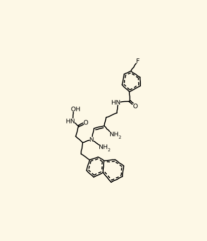 N/C(=C\N(N)C(CC(=O)NO)Cc1ccc2ccccc2c1)CCNC(=O)c1ccc(F)cc1